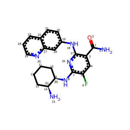 NC(=O)c1cc(F)c(N[C@@H]2CCCC[C@@H]2N)nc1Nc1ccc2cccnc2c1